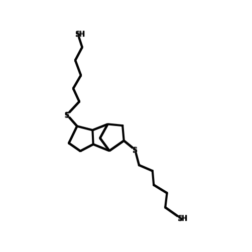 SCCCCCSC1CC2CC1C1CCC(SCCCCCS)C21